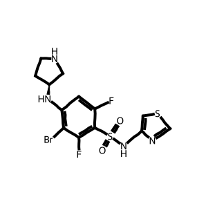 O=S(=O)(Nc1cscn1)c1c(F)cc(N[C@H]2CCNC2)c(Br)c1F